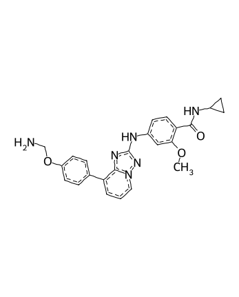 COc1cc(Nc2nc3c(-c4ccc(OCN)cc4)cccn3n2)ccc1C(=O)NC1CC1